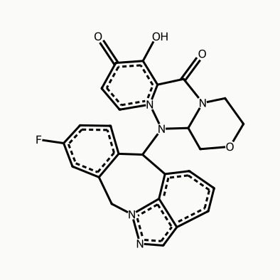 O=C1c2c(O)c(=O)ccn2N(C2c3ccc(F)cc3Cn3ncc4cccc2c43)C2COCCN12